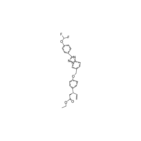 C=C[C@@H](CC(=O)OCC)c1ccc(OCc2ccc3nc(-c4ccc(OC(F)F)cc4)nn3c2)cc1